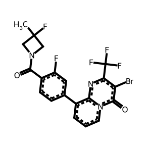 CC1(F)CN(C(=O)c2ccc(-c3cccn4c(=O)c(Br)c(C(F)(F)F)nc34)cc2F)C1